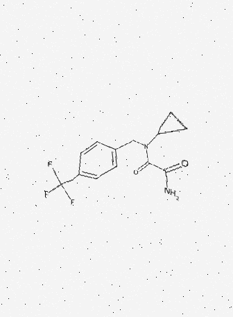 NC(=O)C(=O)N(Cc1ccc(C(F)(F)F)cc1)C1CC1